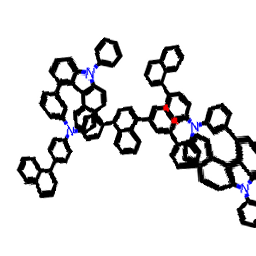 c1ccc(-n2c3cccc(-c4cccc(N(c5ccc(-c6cccc7ccccc67)cc5)c5ccc(-c6ccc(-c7cccc(-c8ccccc8N(c8ccc(-c9cccc%10ccccc9%10)cc8)c8cccc(-c9cccc%10c9c9c%11ccccc%11ccc9n%10-c9ccccc9)c8)c7)c7ccccc67)cc5)c4)c3c3c4ccccc4ccc32)cc1